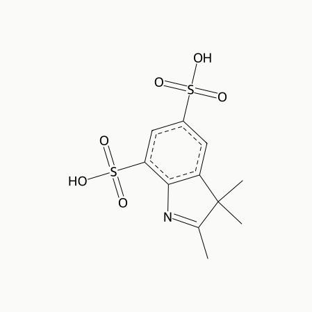 CC1=Nc2c(cc(S(=O)(=O)O)cc2S(=O)(=O)O)C1(C)C